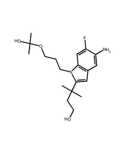 CC(C)(O)OCCCn1c(C(C)(C)CCO)cc2cc(N)c(F)cc21